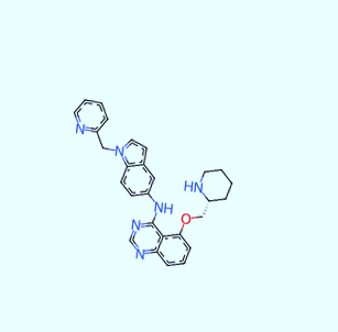 c1ccc(Cn2ccc3cc(Nc4ncnc5cccc(OC[C@H]6CCCCN6)c45)ccc32)nc1